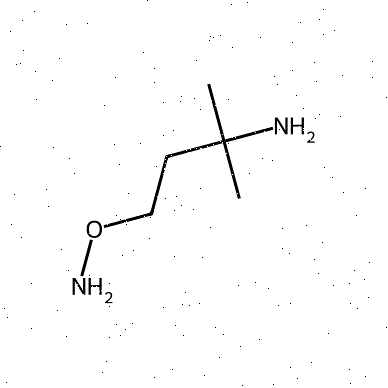 CC(C)(N)CCON